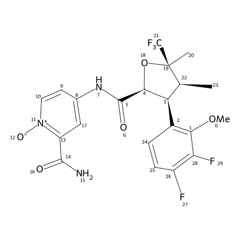 COc1c([C@H]2[C@@H](C(=O)Nc3cc[n+]([O-])c(C(N)=O)c3)O[C@@](C)(C(F)(F)F)[C@H]2C)ccc(F)c1F